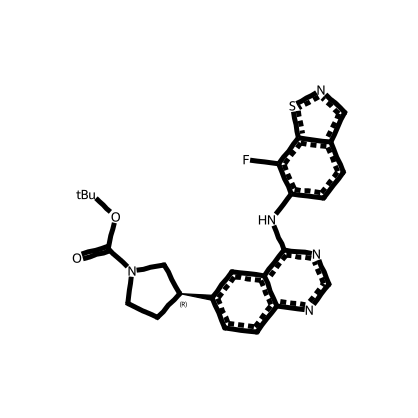 CC(C)(C)OC(=O)N1CC[C@H](c2ccc3ncnc(Nc4ccc5cnsc5c4F)c3c2)C1